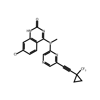 CN(c1cncc(C#CC2(C(F)(F)F)CC2)n1)c1nc(=O)[nH]c2cc(Cl)ccc12